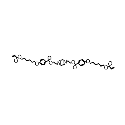 C=CC(=O)OCCCCCCOc1ccc(C(=O)OCCN2CCN(CCOC(=O)c3ccc(OCCCCCCOC(=O)C=C)cc3)CC2)cc1